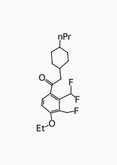 CCCC1CCC(CC(=O)c2ccc(OCC)c(CF)c2C(F)F)CC1